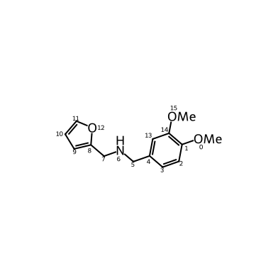 COc1ccc(CNCc2ccco2)cc1OC